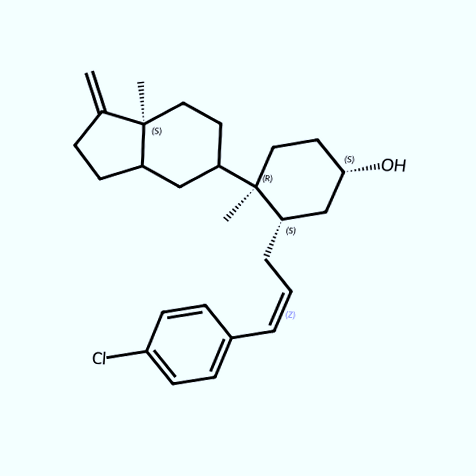 C=C1CCC2CC([C@@]3(C)CC[C@H](O)C[C@@H]3C/C=C\c3ccc(Cl)cc3)CC[C@]12C